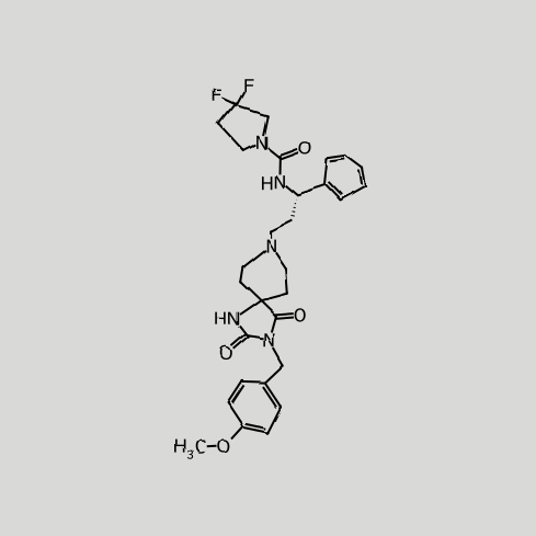 COc1ccc(CN2C(=O)NC3(CCN(CC[C@H](NC(=O)N4CCC(F)(F)C4)c4ccccc4)CC3)C2=O)cc1